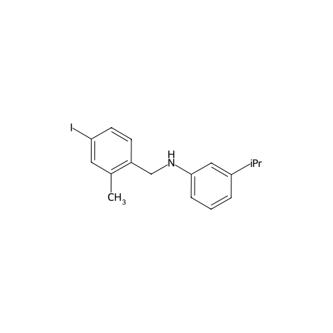 Cc1cc(I)ccc1CNc1cccc(C(C)C)c1